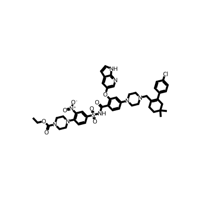 CCOC(=O)N1CCN(c2ccc(S(=O)(=O)NC(=O)c3ccc(N4CCN(CC5=C(c6ccc(Cl)cc6)CC(C)(C)CC5)CC4)cc3Oc3cnc4[nH]ccc4c3)cc2[N+](=O)[O-])CC1